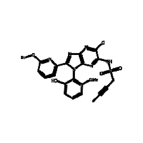 CC#CCS(=O)(=O)Nc1nc2c(nc1Cl)nc(C1=C=C=CC(OCC)=N1)n2-c1c(O)cccc1OC